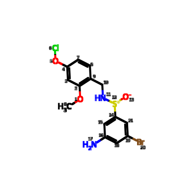 COc1cc(OCl)ccc1CN[S+]([O-])c1cc(N)cc(Br)c1